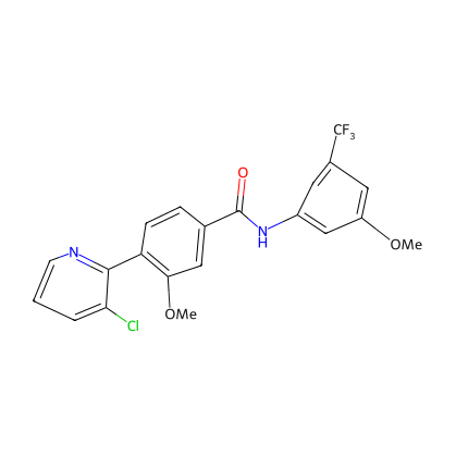 COc1cc(NC(=O)c2ccc(-c3ncccc3Cl)c(OC)c2)cc(C(F)(F)F)c1